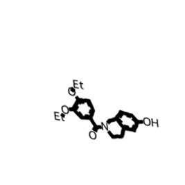 CCOc1ccc(C(=O)N2CCc3cc(O)ccc3C2)cc1OCC